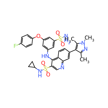 Cc1nn(C)c(C)c1-c1ccc2c(Nc3cc(Oc4ccc(F)cc4)cc(S(N)(=O)=O)c3)c(S(=O)(=O)NC3CC3)cnc2c1